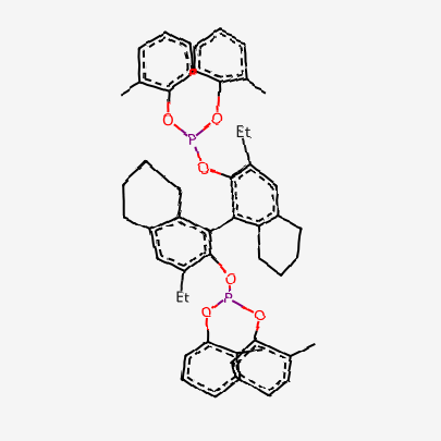 CCc1cc2c(c(-c3c4c(cc(CC)c3OP(Oc3ccccc3C)Oc3ccccc3C)CCCC4)c1OP(Oc1ccccc1C)Oc1ccccc1C)CCCC2